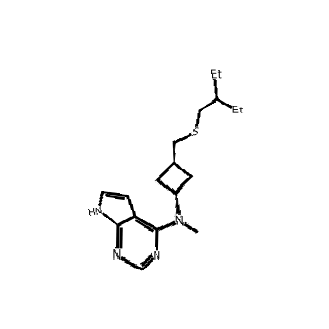 CCC(CC)CSC[C@H]1C[C@@H](N(C)c2ncnc3[nH]ccc23)C1